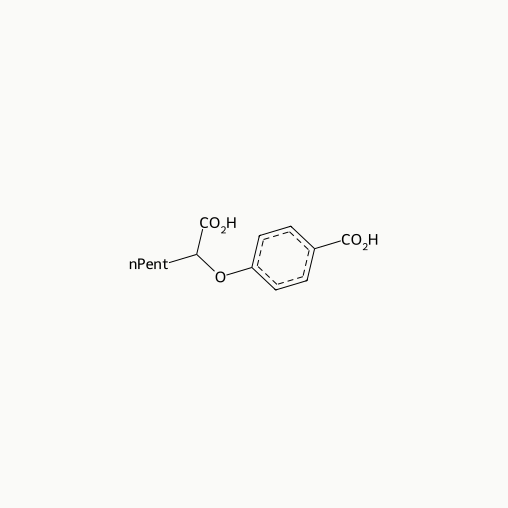 CCCCCC(Oc1ccc(C(=O)O)cc1)C(=O)O